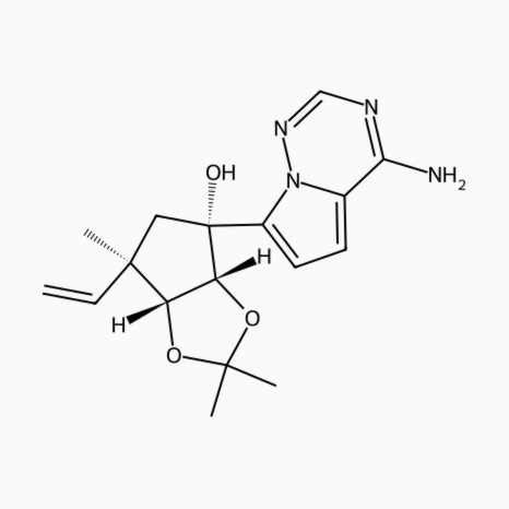 C=C[C@@]1(C)C[C@@](O)(c2ccc3c(N)ncnn23)[C@@H]2OC(C)(C)O[C@@H]21